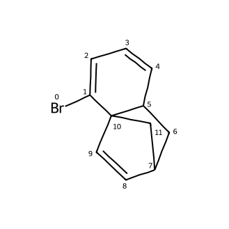 BrC1=CC=CC2CC3C=CC12C3